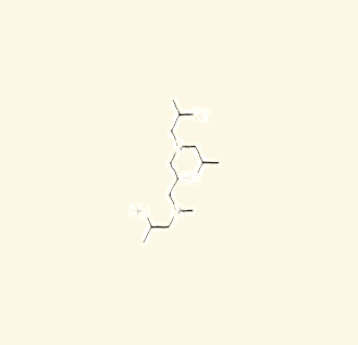 CC(O)CN(C)CCCN(CC(C)O)CC(C)O